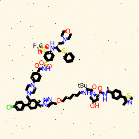 Cc1ncsc1-c1ccc([C@H](C)NC(=O)[C@@H]2C[C@@H](O)CN2C(=O)[C@@H](NCCCCCCOCc2cn(CC3(C)CCC(c4ccc(Cl)cc4)=C(CN4CCN(c5ccc(C(=O)NS(=O)(=O)c6ccc(N[C@H](CCN7CCOCC7)CSc7ccccc7)c(S(=O)(=O)C(F)(F)F)c6)cc5)CC4)C3)nn2)C(C)(C)C)cc1